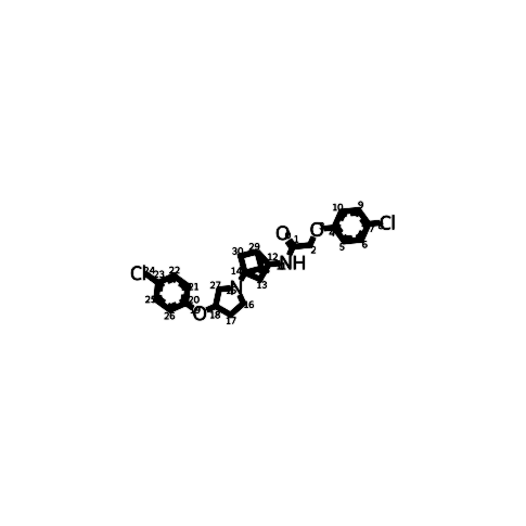 O=C(COc1ccc(Cl)cc1)NC1CC2(N3CCC(Oc4ccc(Cl)cc4)C3)CC1C2